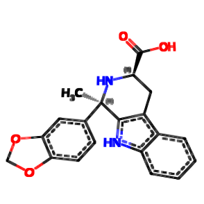 C[C@]1(c2ccc3c(c2)OCO3)N[C@@H](C(=O)O)Cc2c1[nH]c1ccccc21